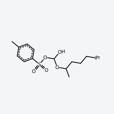 Cc1ccc(S(=O)(=O)OC(O)OC(C)CCCC(C)C)cc1